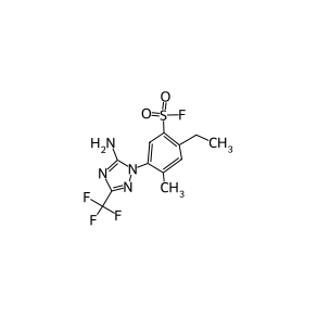 CCc1cc(C)c(-n2nc(C(F)(F)F)nc2N)cc1S(=O)(=O)F